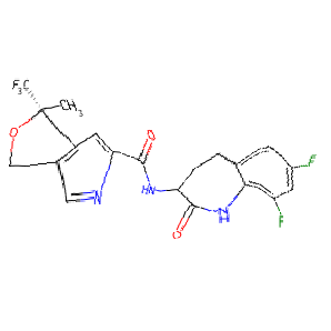 C[C@]1(C(F)(F)F)OCc2cnc(C(=O)NC3CCc4cc(F)cc(F)c4NC3=O)cc21